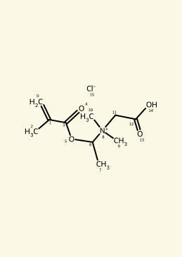 C=C(C)C(=O)OC(C)[N+](C)(C)CC(=O)O.[Cl-]